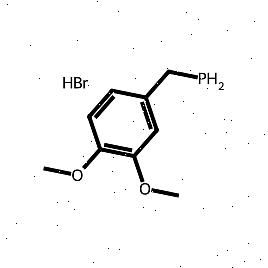 Br.COc1ccc(CP)cc1OC